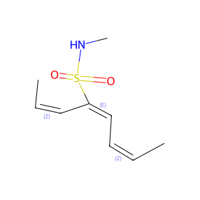 C\C=C/C=C(\C=C/C)S(=O)(=O)NC